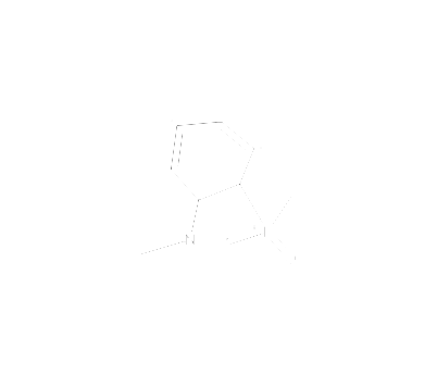 CNC1C=CC=CC1P(C)(C)=O